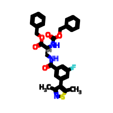 Cc1nsc(C)c1-c1cc(F)cc(C(=O)NC[C@@H](NC(=O)OCc2ccccc2)C(=O)OCc2ccccc2)c1